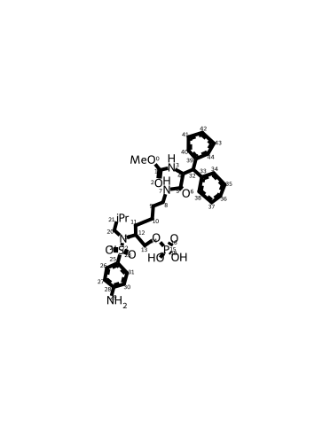 COC(=O)NC(C(=O)NCCCCC(COP(=O)(O)O)N(CC(C)C)S(=O)(=O)c1ccc(N)cc1)C(c1ccccc1)c1ccccc1